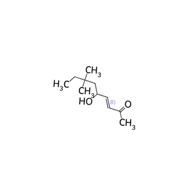 CCC(C)(C)CC(O)/C=C/C(C)=O